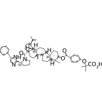 C=C(C)[C@@H]1CC[C@]2(C(=O)N3CCC[C@H]3c3ncc(-c4ccccc4)[nH]3)CC[C@]3(C)[C@H](CC[C@@H]4[C@@]5(C)CC[C@H](OC(=O)c6ccc(OC(C)(C)C(=O)O)cc6)C(C)(C)[C@@H]5CC[C@]43C)[C@@H]12